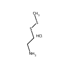 CSSCCN.Cl